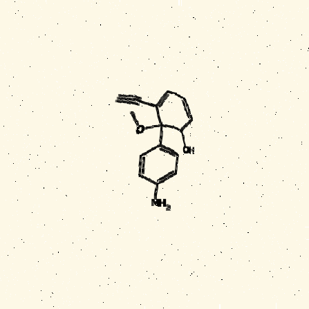 C#CC1=CC=CC(O)C1(OC)c1ccc(N)cc1